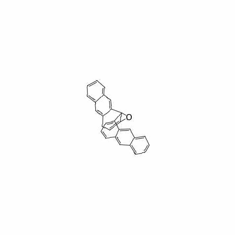 C1=C2OC2(c2cccc3cc4ccccc4cc23)c2cc3ccccc3cc2C1